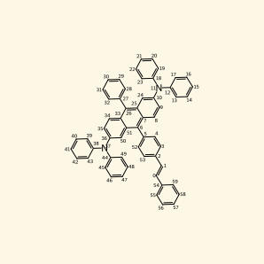 C(=Cc1ccc(-c2c3ccc(N(c4ccccc4)c4ccccc4)cc3c(-c3ccccc3)c3ccc(N(c4ccccc4)c4ccccc4)cc23)cc1)c1ccccc1